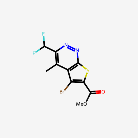 COC(=O)c1sc2nnc(C(F)F)c(C)c2c1Br